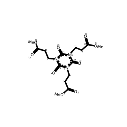 COC(=O)CCn1c(=O)n(CCC(=O)OC)c(=O)n(CCC(=O)OC)c1=O